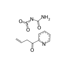 C=CCC(=O)c1ccccn1.NC(=O)N=S(=O)=O